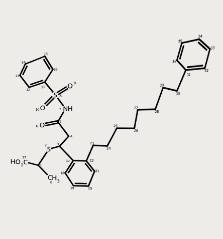 CC(SC(CC(=O)NS(=O)(=O)c1ccccc1)c1ccccc1CCCCCCCCc1ccccc1)C(=O)O